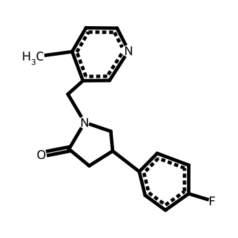 Cc1ccncc1CN1CC(c2ccc(F)cc2)CC1=O